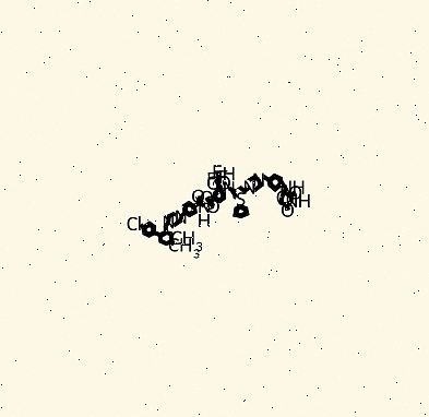 CC1(C)CCC(c2ccc(Cl)cc2)=C(CN2CCN(c3ccc(C(=O)NS(=O)(=O)c4ccc(N[C@H](CCN5CCN(Cc6ccc(NC7CCC(=O)NC7=O)cc6)CC5)CSc5ccccc5)c(S(=O)(=O)C(F)(F)F)c4)cc3)CC2)C1